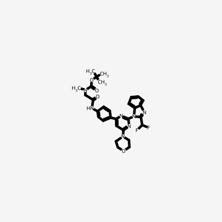 CN(CC(=O)Nc1ccc(-c2cc(N3CCOCC3)nc(-n3c(C(F)F)nc4ccccc43)n2)cc1)C(=O)OC(C)(C)C